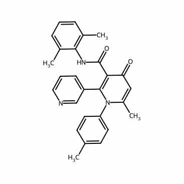 Cc1ccc(-n2c(C)cc(=O)c(C(=O)Nc3c(C)cccc3C)c2-c2cccnc2)cc1